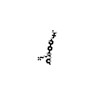 COC(=O)C(C)(C)COc1ccc(-c2ccc(-c3nc(Oc4cccc(C)n4)n(COCCS(C)(C)C)n3)cc2)cn1